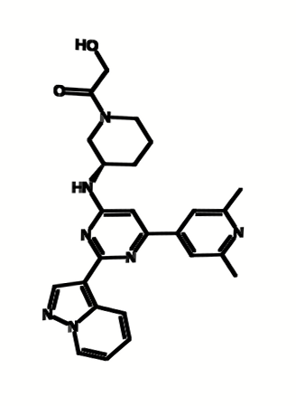 Cc1cc(-c2cc(N[C@@H]3CCCN(C(=O)CO)C3)nc(-c3cnn4ccccc34)n2)cc(C)n1